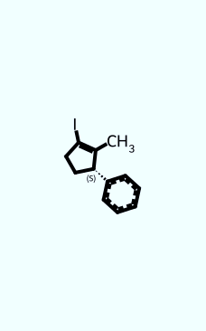 CC1=C(I)CC[C@H]1c1ccccc1